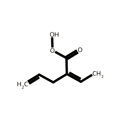 C=CCC(=CC)C(=O)OO